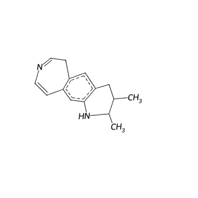 CC1Cc2cc3c(cc2NC1C)C=CN=CC3